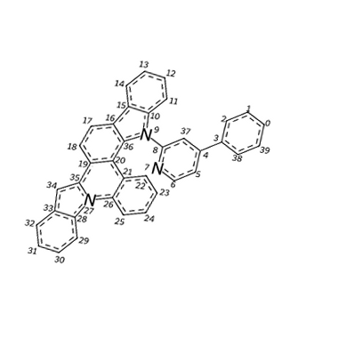 c1ccc(-c2ccnc(-n3c4ccccc4c4ccc5c(c6ccccc6n6c7ccccc7cc56)c43)c2)cc1